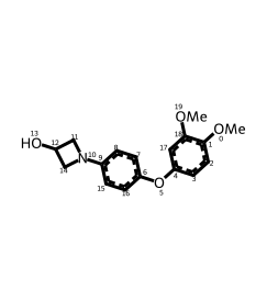 COc1ccc(Oc2ccc(N3CC(O)C3)cc2)cc1OC